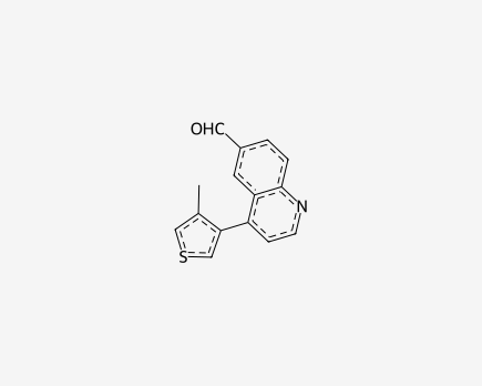 Cc1cscc1-c1ccnc2ccc(C=O)cc12